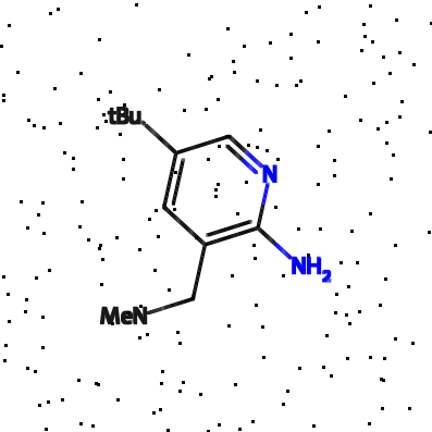 CNCc1cc(C(C)(C)C)cnc1N